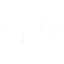 CC1=C(F)CC(CCC2SC(C)C(I)C2I)CC1